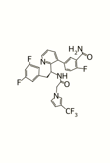 NC(=O)c1cc(-c2cccnc2[C@H](Cc2cc(F)cc(F)c2)NC(=O)Cn2ccc(C(F)(F)F)c2)ccc1F